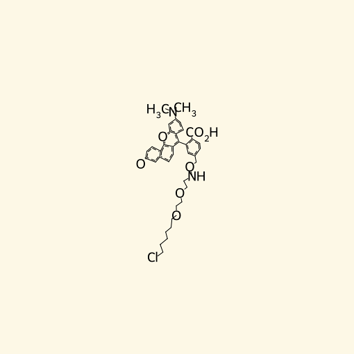 CN(C)c1ccc2c(-c3cc(CONCCOCCOCCCCCCCl)ccc3C(=O)O)c3ccc4cc(=O)ccc4c3oc2c1